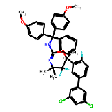 COc1ccc(C(NC2=NC(C)(C)C(F)(F)[C@@](C)(c3cc(-c4cc(Cl)cc(Cl)c4)ccc3F)O2)(c2ccccc2)c2ccc(OC)cc2)cc1